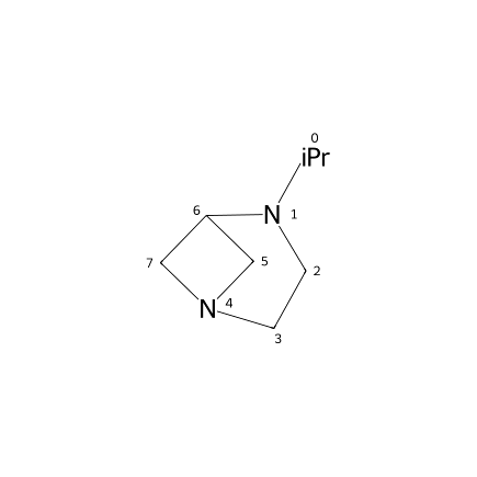 CC(C)N1CCN2CC1C2